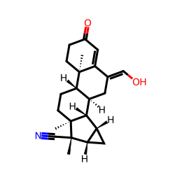 C[C@]12CCC(=O)C=C1/C(=C/O)C[C@H]1[C@@H]3[C@@H]4C[C@@H]4[C@](C)(C#N)[C@@]3(C)CC[C@@H]12